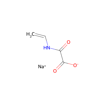 C=CNC(=O)C(=O)[O-].[Na+]